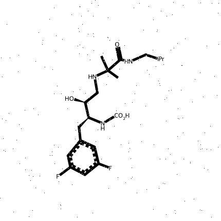 CC(C)CNC(=O)C(C)(C)NC[C@H](O)[C@H](Cc1cc(F)cc(F)c1)NC(=O)O